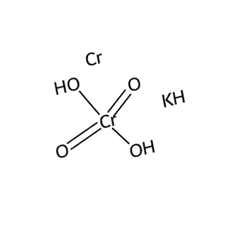 [Cr].[KH].[O]=[Cr](=[O])([OH])[OH]